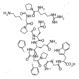 CC(C)C[C@@H](C(=O)N[C@@H](Cc1c[nH]c2ccccc12)C(=O)O)N(C)C(=O)[C@H]1CCCN1C(=O)[C@H](Cc1ccccc1)NC(=O)[C@H](Cc1ccccc1)NC(=O)[C@H](CCC(N)=O)NC(=O)[C@H](CCC(N)=O)NC(=O)[C@@H]1CCCN1C(=O)[C@H](CCCCN)NC(=O)[C@@H]1CCCN1C(=O)[C@@H](N)CCCNC(=N)N